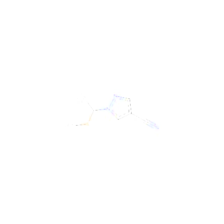 CSC(C)n1cc(C#N)cn1